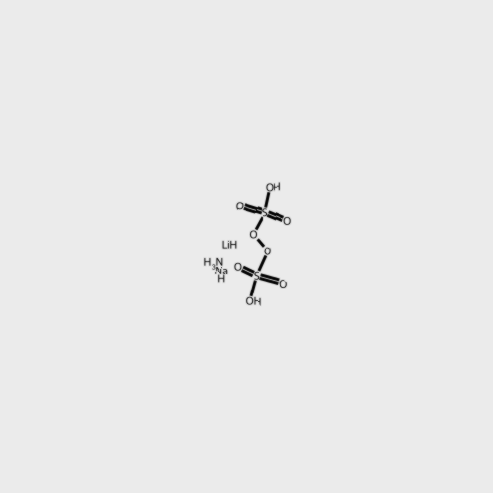 N.O=S(=O)(O)OOS(=O)(=O)O.[LiH].[NaH]